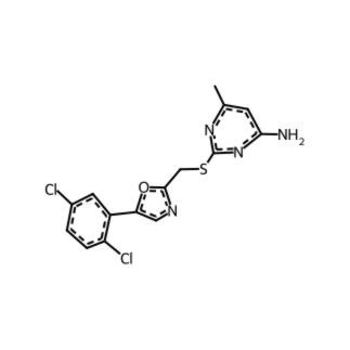 Cc1cc(N)nc(SCc2ncc(-c3cc(Cl)ccc3Cl)o2)n1